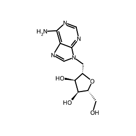 Nc1ncnc2c1ncn2C[C@@H]1O[C@H](CO)[C@@H](O)[C@H]1O